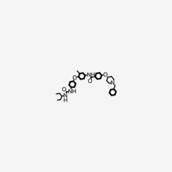 CCC(CC)NC(=O)Nc1ccc(Oc2ccc(NC(=O)c3ccc(OC4CCN(Cc5ccccc5)CC4)cc3)cc2C)cc1